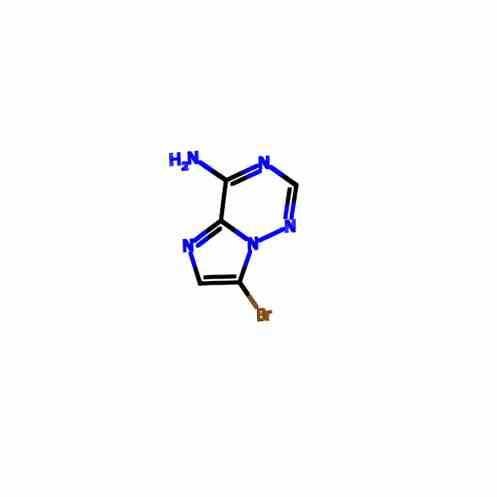 Nc1ncnn2c(Br)cnc12